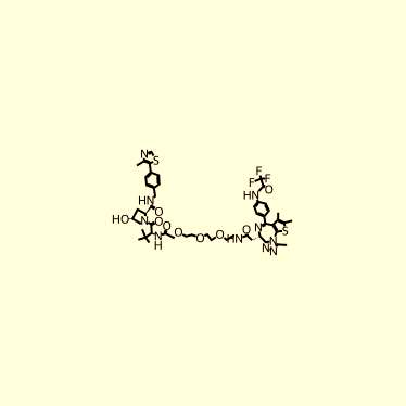 Cc1ncsc1-c1ccc(CNC(=O)[C@@H]2C[C@@H](O)CN2C(=O)[C@@H](NC(=O)COCCOCCOCCNC(=O)C[C@@H]2N=C(c3ccc(NC(=O)C(F)(F)F)cc3)c3c(sc(C)c3C)-n3c(C)nnc32)C(C)(C)C)cc1